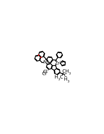 CC(C)(C)c1ccc2c(c1)[CH]([Zr+2](=[C](c1ccccc1)c1ccccc1)[CH]1C=CC=C1)c1cc(N(Cc3ccccc3)Cc3ccccc3)ccc1-2.[Cl-].[Cl-]